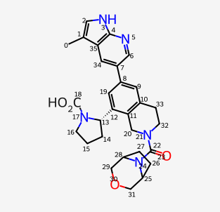 Cc1c[nH]c2ncc(-c3cc4c(c([C@@H]5CCCN5C(=O)O)c3)CN(C(=O)N3C5CCC3COC5)CC4)cc12